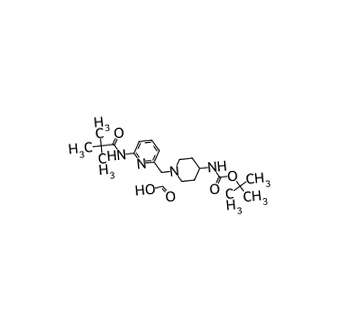 CC(C)(C)OC(=O)NC1CCN(Cc2cccc(NC(=O)C(C)(C)C)n2)CC1.O=CO